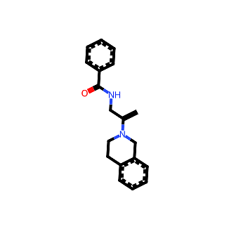 C=C(CNC(=O)c1ccccc1)N1CCc2ccccc2C1